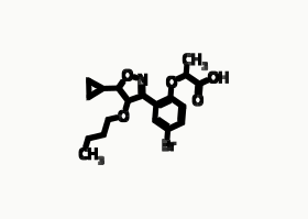 CCCCOC1C(c2cc(Br)ccc2OC(C)C(=O)O)=NOC1C1CC1